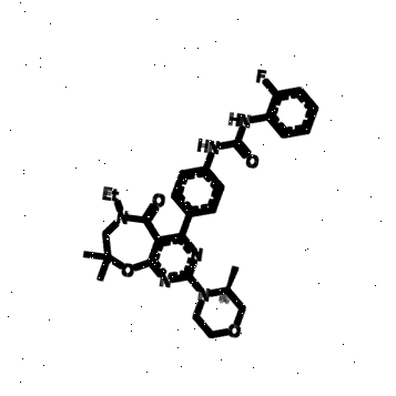 CCN1CC(C)(C)Oc2nc(N3CCOC[C@@H]3C)nc(-c3ccc(NC(=O)Nc4ccccc4F)cc3)c2C1=O